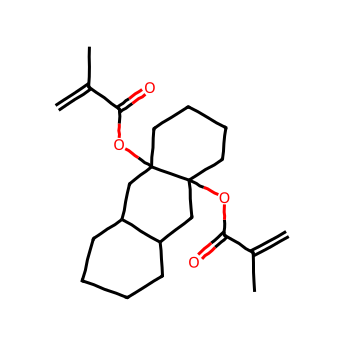 C=C(C)C(=O)OC12CCCCC1(OC(=O)C(=C)C)CC1CCCCC1C2